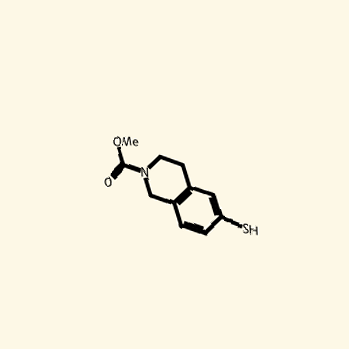 COC(=O)N1CCc2cc(S)ccc2C1